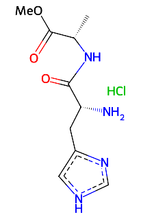 COC(=O)[C@H](C)NC(=O)[C@H](N)Cc1c[nH]cn1.Cl